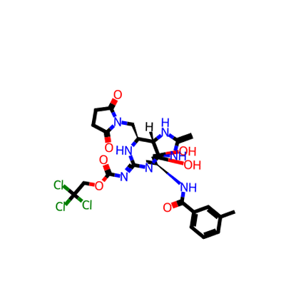 C=C1N[C@H]2[C@H](CN3C(=O)CCC3=O)N/C(=N\C(=O)OCC(Cl)(Cl)Cl)N3C[C@H](NC(=O)c4cccc(C)c4)C(O)(O)[C@]23N1